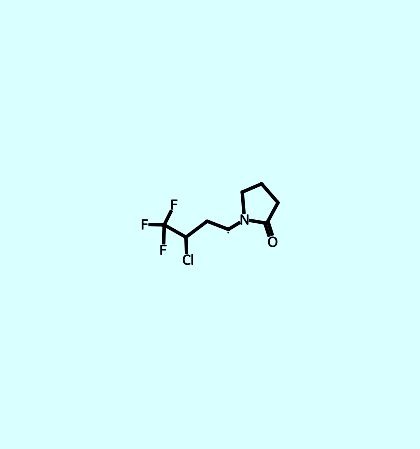 O=C1CCCN1[CH]CC(Cl)C(F)(F)F